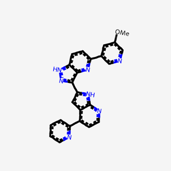 COc1cncc(-c2ccc3[nH]nc(-c4cc5c(-c6ccccn6)ccnc5[nH]4)c3n2)c1